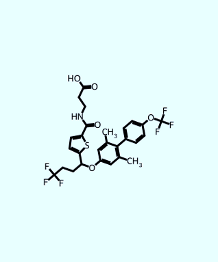 Cc1cc(OC(CCC(F)(F)F)c2ccc(C(=O)NCCC(=O)O)s2)cc(C)c1-c1ccc(OC(F)(F)F)cc1